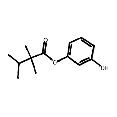 CC(C)C(C)(C)C(=O)Oc1cccc(O)c1